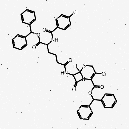 O=C(CCCC(NC(=O)c1ccc(Cl)cc1)C(=O)OC(c1ccccc1)c1ccccc1)NC1C(=O)N2C(C(=O)OC(c3ccccc3)c3ccccc3)=C(Cl)CS[C@@H]12